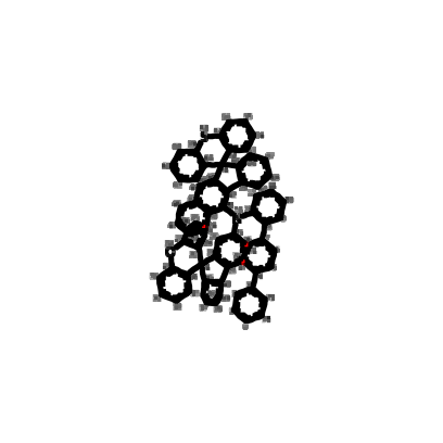 c1ccc(-c2ccc(-c3ccccc3N(c3ccc4c(c3)C3(c5ccccc5Oc5ccccc53)c3ccccc3-4)c3c4c(cc5ccccc35)C3(c5ccccc5Sc5ccccc53)c3ccccc3-4)cc2)cc1